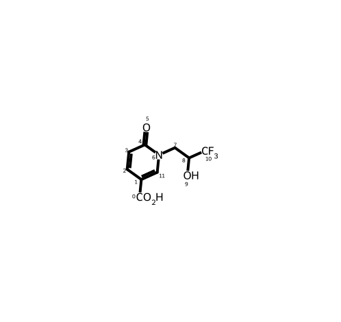 O=C(O)c1ccc(=O)n(CC(O)C(F)(F)F)c1